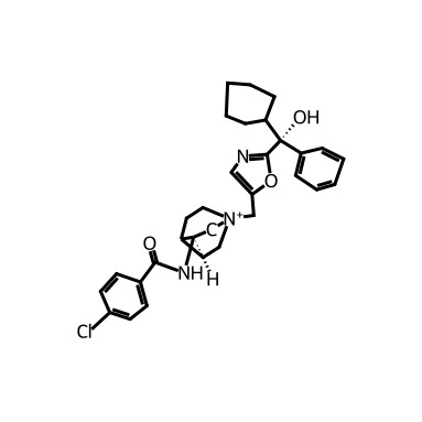 O=C(N[C@@H]1C[N+]2(Cc3cnc([C@](O)(c4ccccc4)C4CCCCC4)o3)CCC1CC2)c1ccc(Cl)cc1